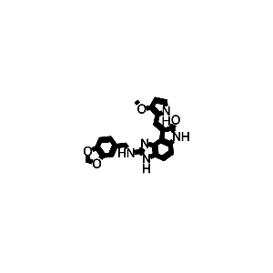 COc1cc[nH]c1/C=C1\C(=O)Nc2ccc3[nH]c(NCc4ccc5c(c4)OCO5)nc3c21